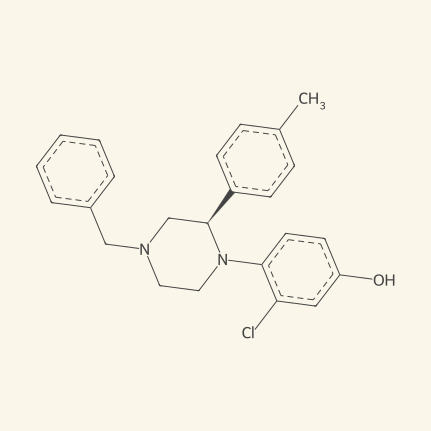 Cc1ccc([C@@H]2CN(Cc3ccccc3)CCN2c2ccc(O)cc2Cl)cc1